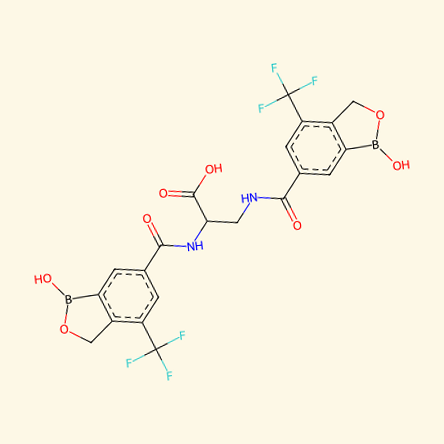 O=C(NCC(NC(=O)c1cc2c(c(C(F)(F)F)c1)COB2O)C(=O)O)c1cc2c(c(C(F)(F)F)c1)COB2O